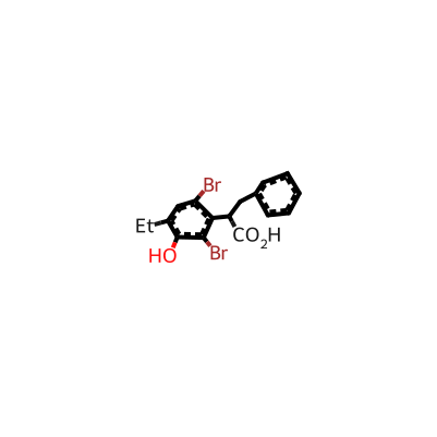 CCc1cc(Br)c(C(Cc2ccccc2)C(=O)O)c(Br)c1O